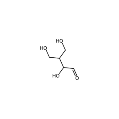 O=CC(O)C(CO)CO